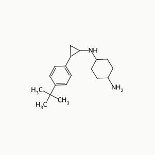 CC(C)(C)c1ccc(C2CC2NC2CCC(N)CC2)cc1